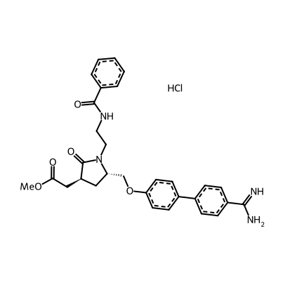 COC(=O)C[C@@H]1C[C@@H](COc2ccc(-c3ccc(C(=N)N)cc3)cc2)N(CCNC(=O)c2ccccc2)C1=O.Cl